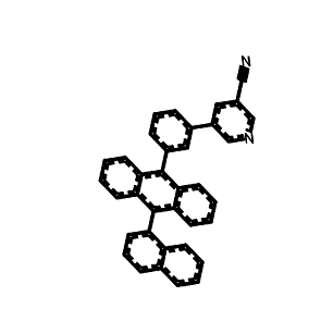 N#Cc1cncc(-c2cccc(-c3c4ccccc4c(-c4cccc5ccccc45)c4ccccc34)c2)c1